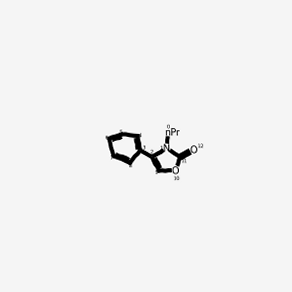 CCCn1c(-c2ccccc2)coc1=O